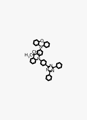 CC1(C)c2ccccc2N(c2ccc(-c3nc(-c4ccccc4)nc(-c4ccccc4)n3)cc2)c2ccc(N3c4ccccc4Oc4ccccc43)cc21